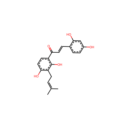 CC(C)=CCc1c(O)ccc(C(=O)C=Cc2ccc(O)cc2O)c1O